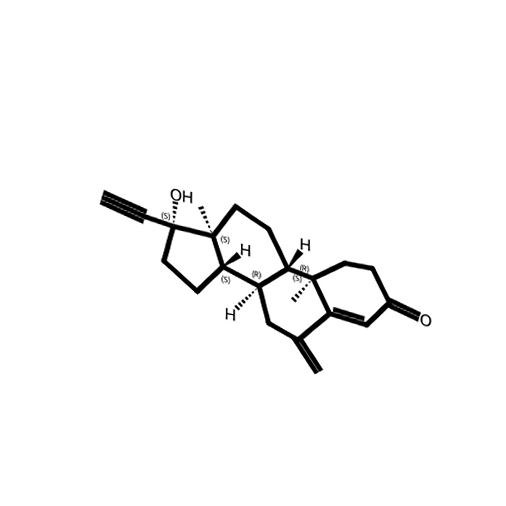 C#C[C@]1(O)CC[C@H]2[C@@H]3CC(=C)C4=CC(=O)CC[C@]4(C)[C@H]3CC[C@@]21C